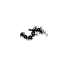 CCCCN(C(=O)Nc1cc(C(N)=O)c(F)cc1F)C1CCN(Cc2ccc(Oc3ccc(-c4ncco4)cc3)nc2C)CC1